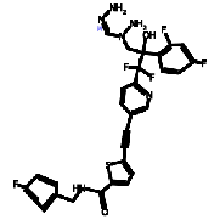 N/N=C\N(N)CC(O)(c1ccc(F)cc1F)C(F)(F)c1ccc(C#Cc2ccc(C(=O)NCc3ccc(F)cc3)s2)cn1